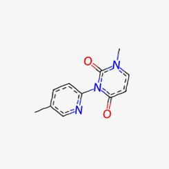 Cc1ccc(-n2c(=O)ccn(C)c2=O)nc1